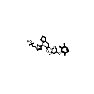 Cc1ccc(C)c(Oc2cnn(C(CC3CCCC3)C(=O)Nc3ccn(CC(C)(C)O)n3)c(=O)c2)c1C